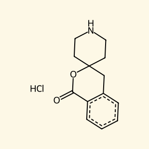 Cl.O=C1OC2(CCNCC2)Cc2ccccc21